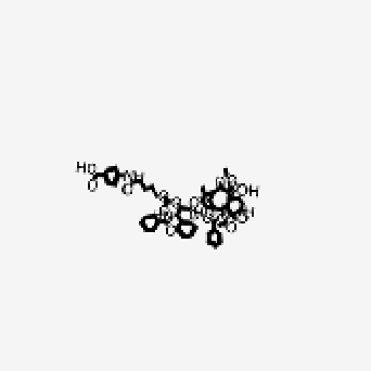 CC(=O)O[C@H]1C(=O)[C@@]2(C)[C@H]([C@H](OC(=O)c3ccccc3)[C@@]3(O)CC1=C(C)[C@@H](OC(=O)[C@H](OC(=O)OCCCCC(=O)Nc1ccc(C(=O)O)cc1)[C@@H](NC(=O)c1ccccc1)c1ccccc1)C3)[C@]1(OC(C)=O)CO[C@@H]1C[C@@H]2O